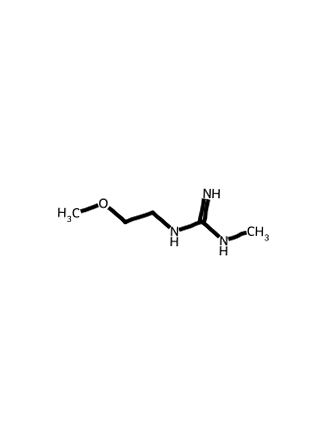 CNC(=N)NCCOC